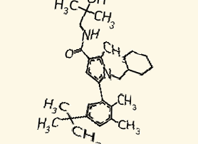 Cc1cc(C(C)(C)C)cc(-c2cc(C(=O)NCC(C)(C)O)c(C)n2CC2CCCCC2)c1C